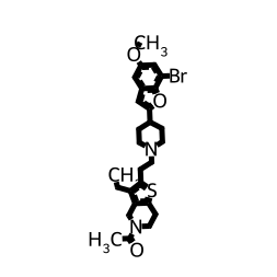 CCc1c(CCN2CCC(c3cc4cc(OC)cc(Br)c4o3)CC2)sc2c1CN(C(C)=O)CC2